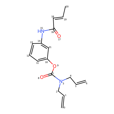 C=CCN(CC=C)C(=O)Oc1cccc(NC(=O)/C=C/C)c1